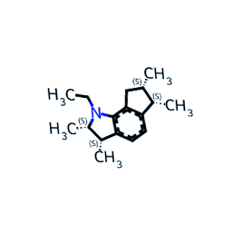 CCN1c2c(ccc3c2C[C@H](C)[C@@H]3C)[C@H](C)[C@@H]1C